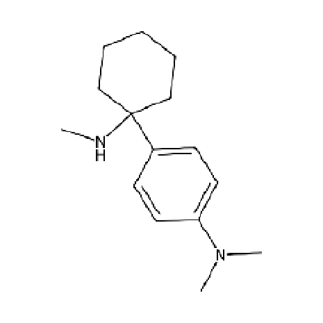 CNC1(c2ccc(N(C)C)cc2)CCCCC1